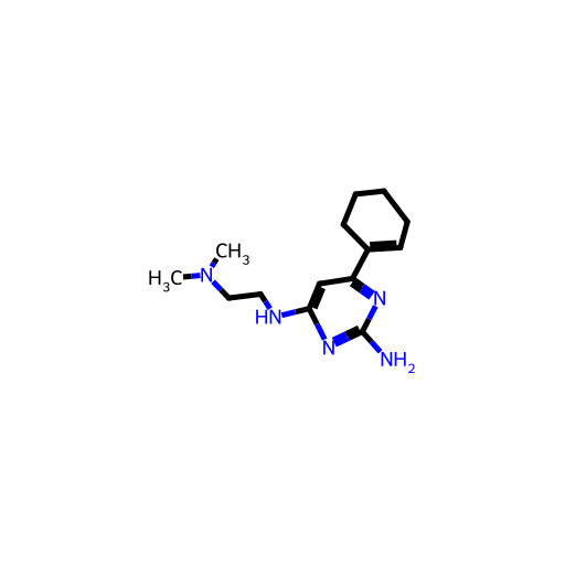 CN(C)CCNc1cc(C2=CCCCC2)nc(N)n1